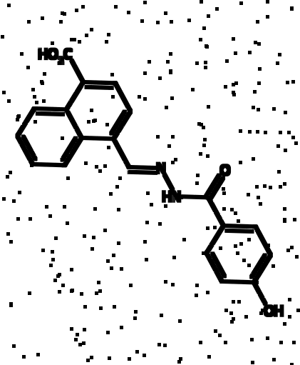 O=C(NN=Cc1ccc(C(=O)O)c2ccccc12)c1ccc(O)cc1